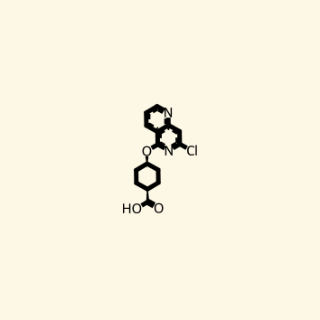 O=C(O)[C@H]1CC[C@@H](Oc2nc(Cl)cc3ncccc23)CC1